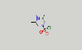 CC1CN(S(=O)(=O)Cl)C[C@@H](C)N1C